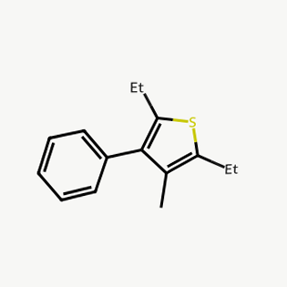 CCc1sc(CC)c(-c2ccccc2)c1C